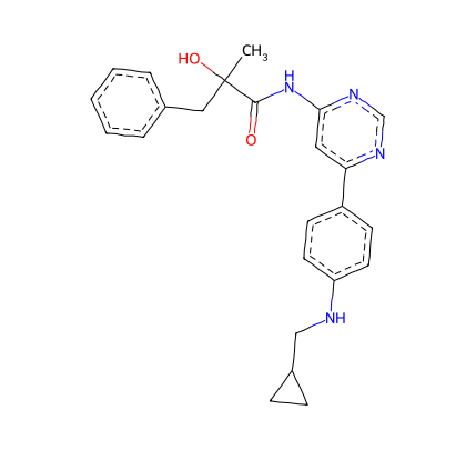 CC(O)(Cc1ccccc1)C(=O)Nc1cc(-c2ccc(NCC3CC3)cc2)ncn1